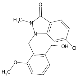 COc1cccc(CO)c1Cn1c2cc(Cl)ccc2c(=O)n1C